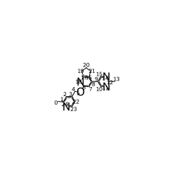 Cc1cc(COc2cc(-c3cnc(C)nc3)c3c(n2)CCC3)ccn1